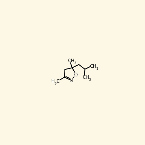 CC1=NOC(C)(CC(C)C)C1